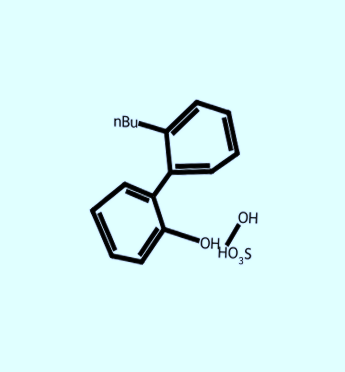 CCCCc1ccccc1-c1ccccc1O.O=S(=O)(O)O